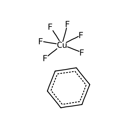 [F][Cu]([F])([F])([F])([F])[F].c1ccccc1